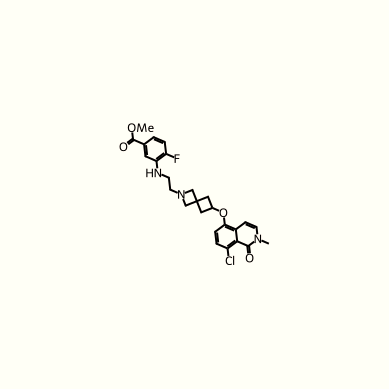 COC(=O)c1ccc(F)c(NCCN2CC3(CC(Oc4ccc(Cl)c5c(=O)n(C)ccc45)C3)C2)c1